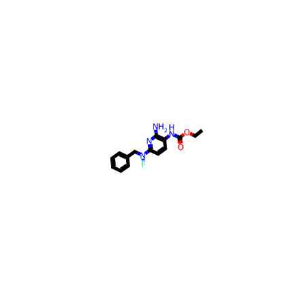 CCOC(=O)Nc1ccc(N(F)Cc2ccccc2)nc1N